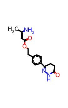 C/C(N)=C/C(=O)OCCc1ccc(C2=NNC(=O)CC2)cc1